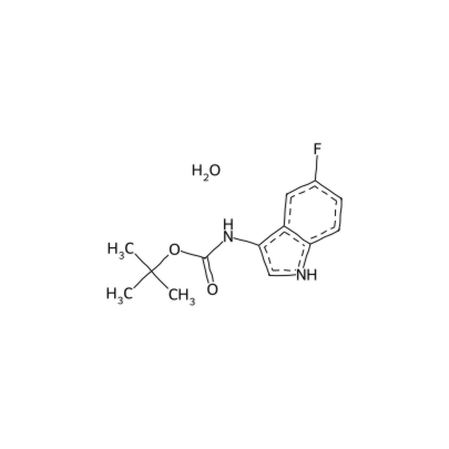 CC(C)(C)OC(=O)Nc1c[nH]c2ccc(F)cc12.O